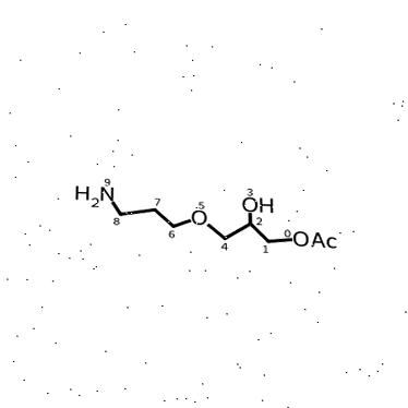 CC(=O)OCC(O)COCCCN